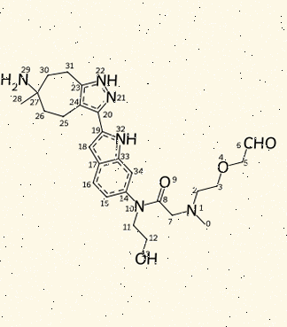 CN(CCOCC=O)CC(=O)N(CCO)c1ccc2cc(-c3n[nH]c4c3CCC(C)(N)CC4)[nH]c2c1